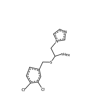 CCCCCCC(Cn1ccnc1)SCc1ccc(Cl)c(Cl)c1